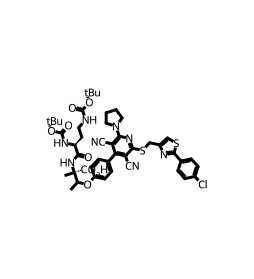 CC(Oc1ccc(-c2c(C#N)c(SCc3csc(-c4ccc(Cl)cc4)n3)nc(N3CCCC3)c2C#N)cc1)[C@@](C)(NC(=O)[C@H](CCNC(=O)OC(C)(C)C)NC(=O)OC(C)(C)C)C(=O)O